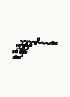 CCCCCCCCCCCCCCCC(=O)OC[C@H](CSC[C@H](C)C(=O)N[C@@H](CO)C(=O)OC)OC(=O)CCCCCCCCCCCCCCC